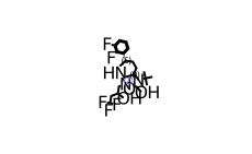 CC(C)(C)N(C(=O)O)[C@@H]1CC[C@@H](c2cccc(F)c2F)CN/C1=N\CC(O)CC(F)(F)F